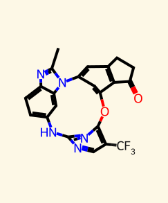 Cc1nc2ccc3cc2n1c1cc2c(c(c1)oc1nc(ncc1C(F)(F)F)[nH]3)C(=O)CC2